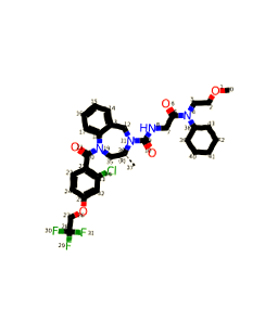 COCCN(C(=O)CNC(=O)N1Cc2ccccc2N(C(=O)c2ccc(OCC(F)(F)F)cc2Cl)C[C@H]1C)C1CCCCC1